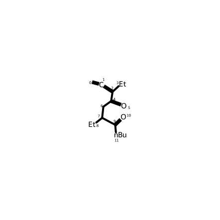 C=C=C(CC)C(=O)CC(CC)C(=O)CCCC